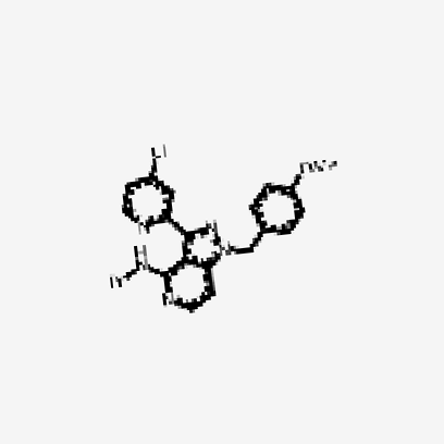 COc1ccc(Cn2nc(-c3cc(Cl)ccn3)c3c(NC(C)C)nccc32)cc1